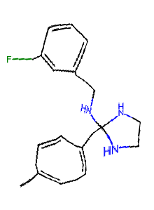 Cc1ccc(C2(NCc3cccc(F)c3)NCCN2)cc1